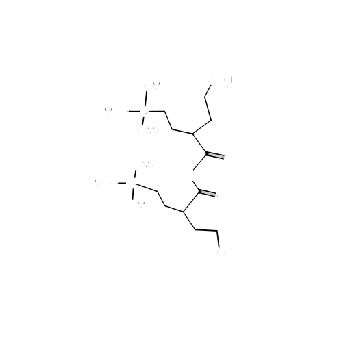 CO[Si](CCC(CCC(=O)O)C(=O)OC(=O)C(CCC(=O)O)CC[Si](OC)(OC)OC)(OC)OC